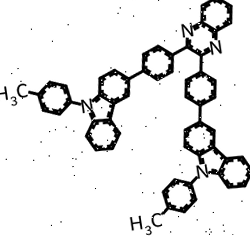 Cc1ccc(-n2c3ccccc3c3cc(-c4ccc(-c5nc6ccccc6nc5-c5ccc(-c6ccc7c(c6)c6ccccc6n7-c6ccc(C)cc6)cc5)cc4)ccc32)cc1